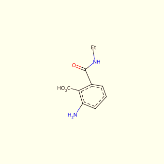 CCNC(=O)c1cccc(N)c1C(=O)O